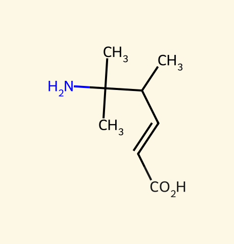 CC(C=CC(=O)O)C(C)(C)N